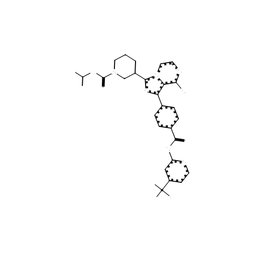 CC(C)OC(=O)N1CCCC(c2nc(-c3ccc(C(=O)Nc4cc(C(F)(F)F)ccn4)cc3)c3c(N)nccn23)C1